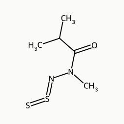 CC(C)C(=O)N(C)N=S=S